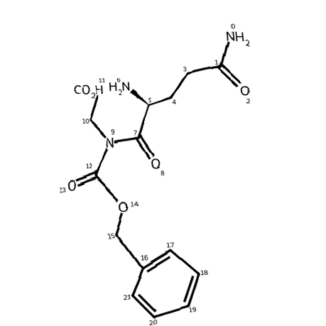 NC(=O)CC[C@H](N)C(=O)N(CC(=O)O)C(=O)OCc1ccccc1